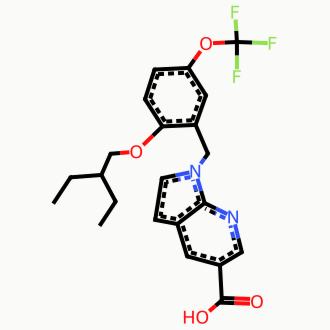 CCC(CC)COc1ccc(OC(F)(F)F)cc1Cn1ccc2cc(C(=O)O)cnc21